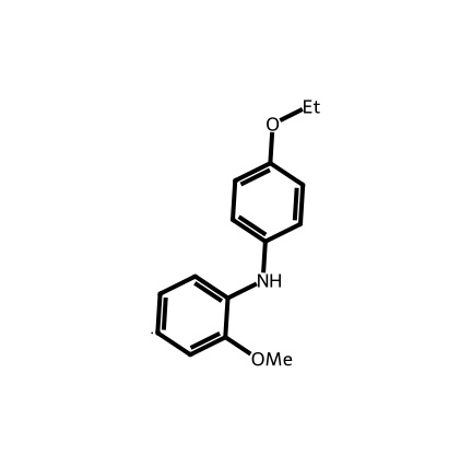 CCOc1ccc(Nc2cc[c]cc2OC)cc1